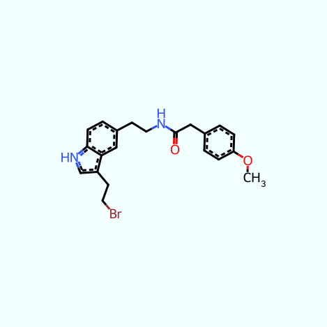 COc1ccc(CC(=O)NCCc2ccc3[nH]cc(CCBr)c3c2)cc1